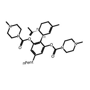 C=C(C)[C@@H]1CCC(C)=C[C@H]1c1c(OC(=O)N2CCN(C)CC2)cc(CCCCC)cc1OC(=O)N1CCN(C)CC1